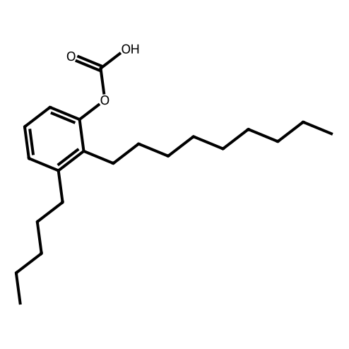 CCCCCCCCCc1c(CCCCC)cccc1OC(=O)O